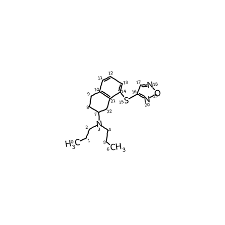 CCCN(CCC)C1CCc2cccc(Sc3cnon3)c2C1